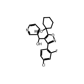 COC1(c2onc(-c3ccc(Cl)cc3F)c2C(O)c2cccnc2)CCCCC1